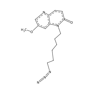 COc1cnc2ccc(=O)n(CCCCCCN=[N+]=[N-])c2c1